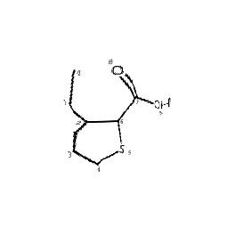 CCC1CCSC1C(=O)O